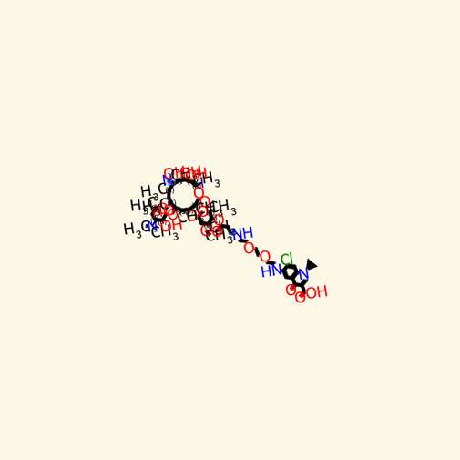 CO[C@]1(C)CC(O[C@H]2[C@H](C)[C@@H](OC3O[C@H](C)C[C@H](N(C)C)[C@H]3O)[C@](C)(O)C[C@@H](C)/C(=N/O)[C@H](C)[C@@H](O)[C@](C)(O)[C@@H](I)OC(=O)[C@@H]2C)O[C@@H](C)[C@@H]1OC(=O)CCNCCOCCOCCNc1cc2c(=O)c(C(=O)O)cn(C3CC3)c2cc1Cl